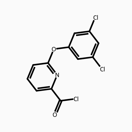 O=C(Cl)c1cccc(Oc2cc(Cl)cc(Cl)c2)n1